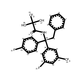 O=C(N[C@@](Cc1ccccc1)(c1ccc(F)cc1)c1cc(F)cc(C(F)(F)F)c1)C(O)(O)C(F)(F)F